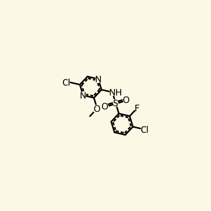 COc1nc(Cl)cnc1NS(=O)(=O)c1cccc(Cl)c1F